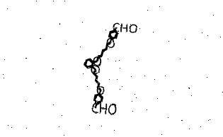 O=Cc1ccc(OCCCCCOc2ccccc2OCCCCCOc2ccc(C=O)cc2)cc1